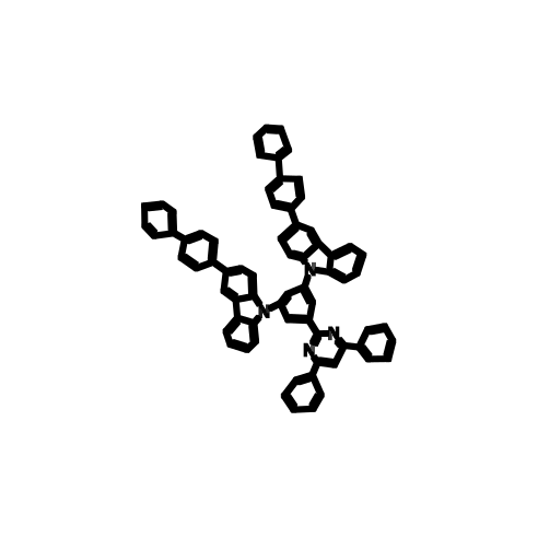 c1ccc(-c2ccc(-c3ccc4c(c3)c3ccccc3n4-c3cc(-c4nc(-c5ccccc5)cc(-c5ccccc5)n4)cc(-n4c5ccccc5c5cc(-c6ccc(-c7ccccc7)cc6)ccc54)c3)cc2)cc1